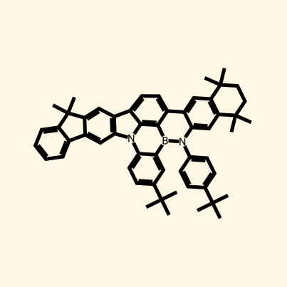 CC(C)(C)c1ccc(N2B3c4cc(C(C)(C)C)ccc4-n4c5cc6c(cc5c5ccc(c3c54)-c3cc4c(cc32)C(C)(C)CCC4(C)C)C(C)(C)c2ccccc2-6)cc1